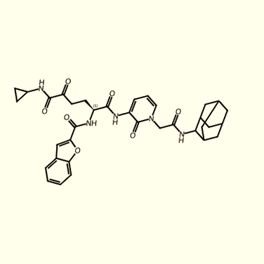 O=C(Cn1cccc(NC(=O)[C@H](CCC(=O)C(=O)NC2CC2)NC(=O)c2cc3ccccc3o2)c1=O)NC1C2CC3CC(C2)CC1C3